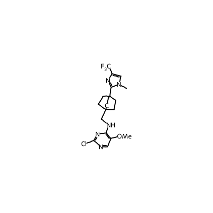 COc1cnc(Cl)nc1NCC12CCC(c3nc(C(F)(F)F)cn3C)(CC1)CC2